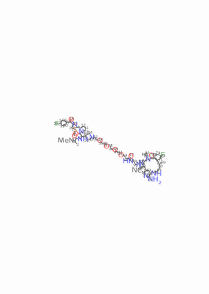 CN[C@H](C)C(=O)N[C@@H](C(=O)N1CCC[C@@H]1C1=NC(C(=O)c2ccc(F)cc2)CS1)C1CCN(CCOCCOCCOCCOCCC(=O)NCCn2nc3c(c2C#N)-c2cnc(N)c(c2)NCCC[C@@H](C)c2cc(F)ccc2C(=O)N(C2CC2)C3)CC1